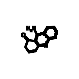 Nc1c2c(nc3ccccc13)C=CCC2=O